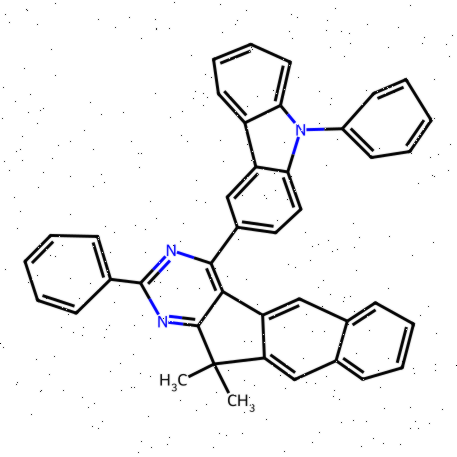 CC1(C)c2cc3ccccc3cc2-c2c(-c3ccc4c(c3)c3ccccc3n4-c3ccccc3)nc(-c3ccccc3)nc21